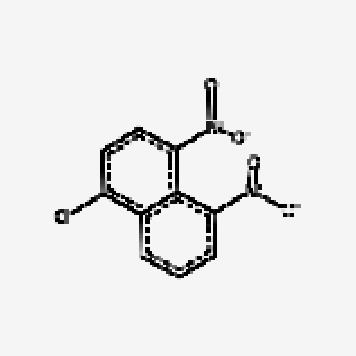 O=[N+]([O-])c1cccc2c(Cl)ccc([N+](=O)[O-])c12